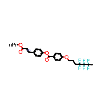 CCCOC(=O)/C=C/c1ccc(OC(=O)c2ccc(OCCCC(F)(F)C(F)(F)C(C)(F)F)cc2)cc1